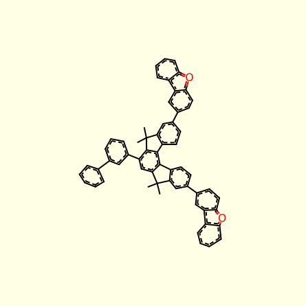 CC1(C)c2cc(-c3ccc4oc5ccccc5c4c3)ccc2-c2c1cc(-c1cccc(-c3ccccc3)c1)c1c2-c2ccc(-c3ccc4oc5ccccc5c4c3)cc2C1(C)C